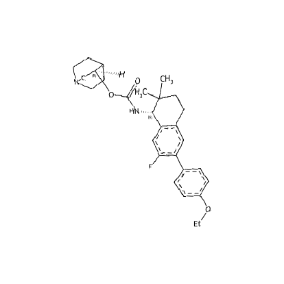 CCOc1ccc(-c2cc3c(cc2F)[C@H](NC(=O)O[C@H]2CN4CCC2CC4)C(C)(C)CC3)cc1